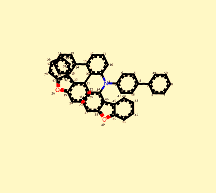 c1ccc(-c2ccc(N(c3cccc(-c4ccccc4)c3-c3cccc4oc5ccccc5c34)c3cccc4oc5ccccc5c34)cc2)cc1